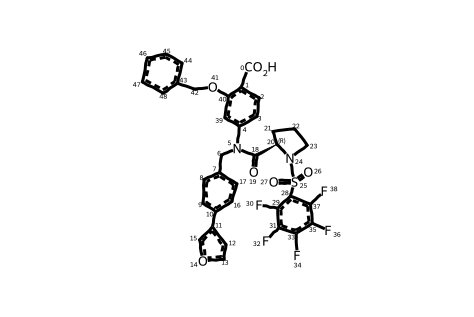 O=C(O)c1ccc(N(Cc2ccc(-c3ccoc3)cc2)C(=O)[C@H]2CCCN2S(=O)(=O)c2c(F)c(F)c(F)c(F)c2F)cc1OCc1ccccc1